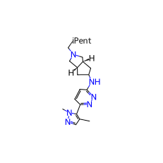 CCCC(C)CN1C[C@H]2CC(Nc3ccc(-c4c(C)cnn4C)nn3)C[C@H]2C1